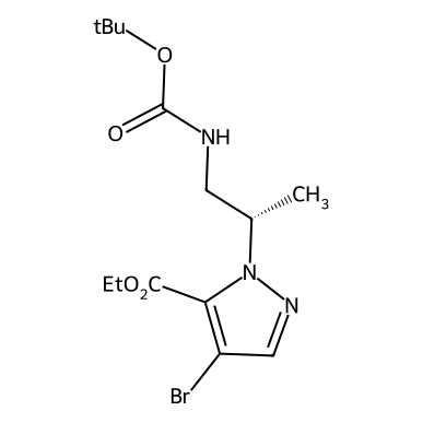 CCOC(=O)c1c(Br)cnn1[C@@H](C)CNC(=O)OC(C)(C)C